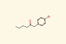 CCCCC(=O)Cc1ccc(Br)cc1